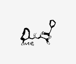 COc1ccccc1CNC=C1N=C(c2ccccc2)OC1=O